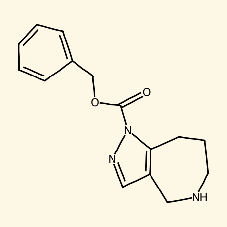 O=C(OCc1ccccc1)n1ncc2c1CCCNC2